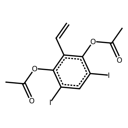 C=Cc1c(OC(C)=O)c(I)cc(I)c1OC(C)=O